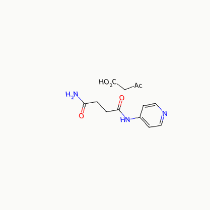 CC(=O)CC(=O)O.NC(=O)CCC(=O)Nc1ccncc1